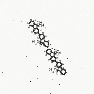 CC1(C)c2ccccc2-c2ccc(-c3ccc4c(c3)C(C)(C(F)(F)F)c3cc(-c5ccc6c(c5)C(C)(C(F)(F)F)c5cc(-c7ccc8c(c7)C(C)(C)c7ccccc7-8)ccc5-6)ccc3-4)cc21